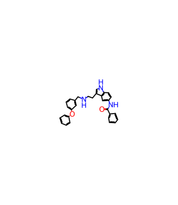 O=C(Nc1ccc2[nH]cc(CCNCc3cccc(Oc4ccccc4)c3)c2c1)c1ccccc1